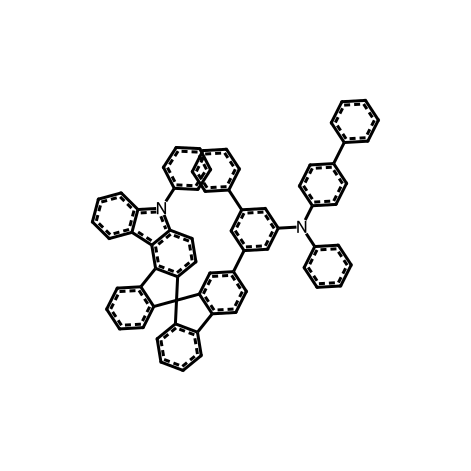 c1ccc(-c2ccc(N(c3ccccc3)c3cc(-c4ccccc4)cc(-c4ccc5c(c4)C4(c6ccccc6-5)c5ccccc5-c5c4ccc4c5c5ccccc5n4-c4ccccc4)c3)cc2)cc1